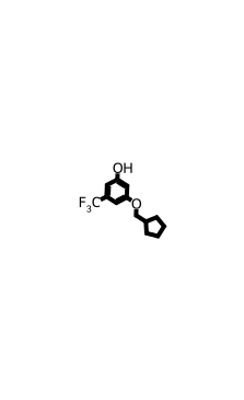 Oc1cc(OCC2CCCC2)cc(C(F)(F)F)c1